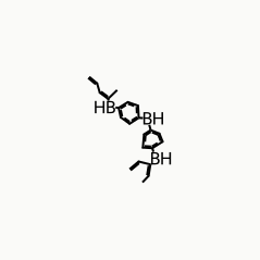 C=C/C=C(\C)Bc1ccc(Bc2ccc(B/C(C=C)=C/C)cc2)cc1